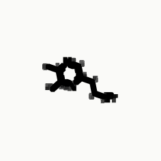 Cc1ncc(CCC(C)C)nc1C